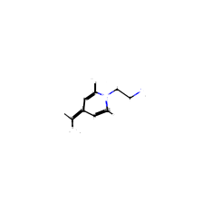 CCC(C#N)=C1C=C(C)N(CCN)C(C)=C1